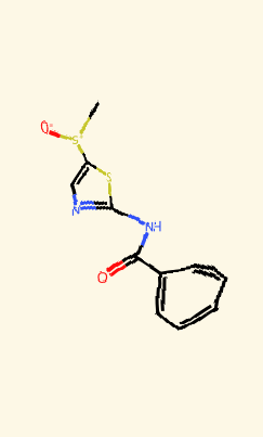 C[S+]([O-])c1cnc(NC(=O)c2ccccc2)s1